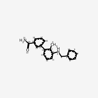 Cc1c(NCc2ccccc2)cccc1-c1cccc(C(N)=O)c1